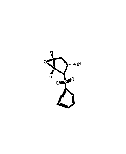 O=S(=O)(c1ccccc1)[C@H]1[C@@H]2O[C@@H]2C[C@@H]1O